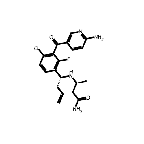 C=CC[C@@H](N[C@@H](C)CC(N)=O)c1ccc(Cl)c(C(=O)c2ccc(N)nc2)c1F